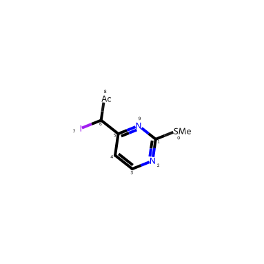 CSc1nccc(C(I)C(C)=O)n1